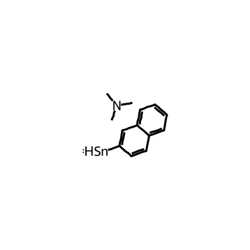 CN(C)C.[SnH][c]1ccc2ccccc2c1